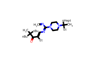 C=N/C(=N\C=C(/CC)C(=O)C(C)(CCCC)CCCC)N1CCN(C(C)(CC)CCCCCCC)CC1